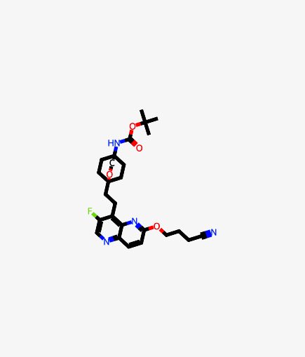 CC(C)(C)OC(=O)NC12CCC(CCc3c(F)cnc4ccc(OCCCC#N)nc34)(CC1)OC2